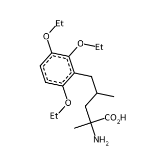 CCOc1ccc(OCC)c(OCC)c1CC(C)CC(C)(N)C(=O)O